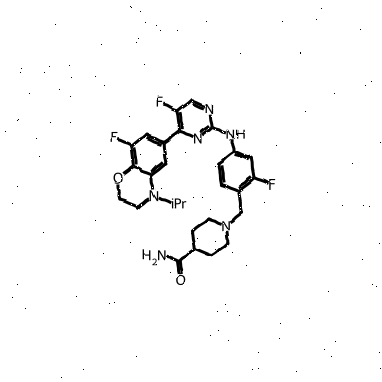 CC(C)N1CCOc2c(F)cc(-c3nc(Nc4ccc(CN5CCC(C(N)=O)CC5)c(F)c4)ncc3F)cc21